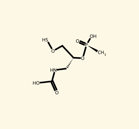 C[P@@](=O)(O)O[C@H](CNC(=O)O)COS